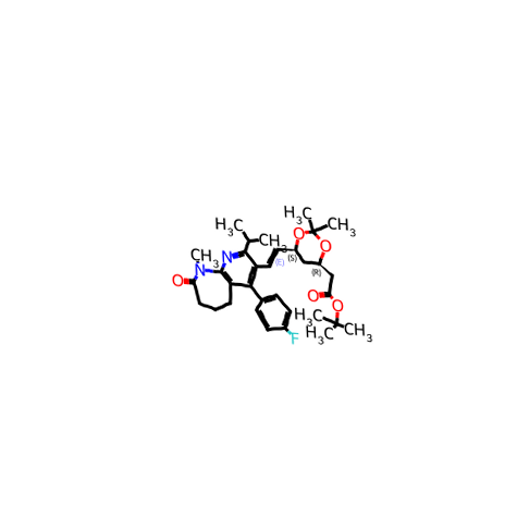 CC(C)c1nc2c(c(-c3ccc(F)cc3)c1/C=C/[C@@H]1C[C@H](CC(=O)OC(C)(C)C)OC(C)(C)O1)CCCC(=O)N2C